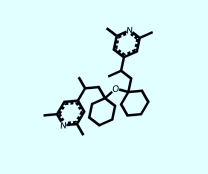 Cc1cc(C(C)CC2(OC3(CC(C)c4cc(C)nc(C)c4)CCCCC3)CCCCC2)cc(C)n1